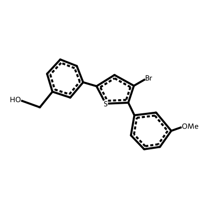 COc1cccc(-c2sc(-c3cccc(CO)c3)cc2Br)c1